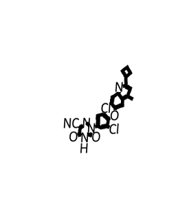 Cc1cc(C2CCC2)nc2ccc(Oc3c(Cl)cc(-n4nc(C#N)c(=O)[nH]c4=O)cc3Cl)cc12